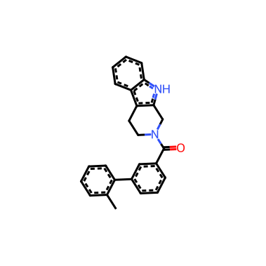 Cc1ccccc1-c1cccc(C(=O)N2CCc3c([nH]c4ccccc34)C2)c1